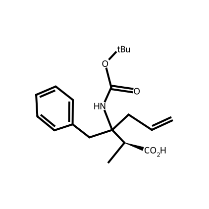 C=CCC(Cc1ccccc1)(NC(=O)OC(C)(C)C)[C@H](C)C(=O)O